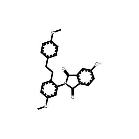 COc1ccc(CCc2ccc(OC)cc2N2C(=O)c3ccc(O)cc3C2=O)cc1